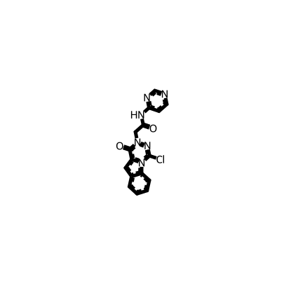 O=C(Cn1nc(Cl)n2c(cc3ccccc32)c1=O)Nc1ccncn1